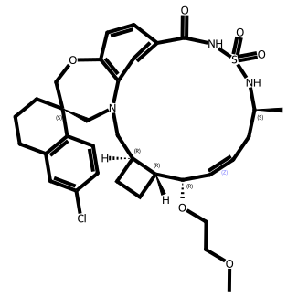 COCCO[C@H]1/C=C\C[C@H](C)NS(=O)(=O)NC(=O)c2ccc3c(c2)N(C[C@@H]2CC[C@H]21)C[C@@]1(CCCc2cc(Cl)ccc21)CO3